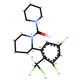 O=C(N1CCCCC1)N1CCCCC1c1cc(F)cc(F)c1C(F)(F)F